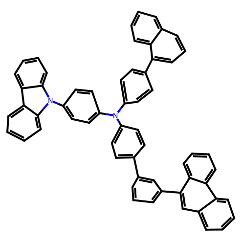 c1cc(-c2ccc(N(c3ccc(-c4cccc5ccccc45)cc3)c3ccc(-n4c5ccccc5c5ccccc54)cc3)cc2)cc(-c2cc3ccccc3c3ccccc23)c1